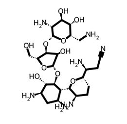 N#CC[C@H](N)[C@@H]1CC[C@@H](N)C([C@H]2[C@H](O[C@@H]3O[C@H](CO)[C@@H](O[C@H]4O[C@@H](CN)[C@@H](O)[C@H](O)[C@H]4N)[C@H]3O)[C@@H](O)[C@H](N)C[C@@H]2N)O1